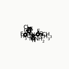 CC(C)Oc1ccc(-c2nn([C@@H](C)c3cc4scc(Cl)n4c(=O)c3-c3cccc(F)c3)c3ncnc(N)c23)cc1F